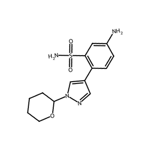 Nc1ccc(-c2cnn(C3CCCCO3)c2)c(S(N)(=O)=O)c1